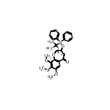 COc1cc2c(c(OC)c1OC)OCC(O[Si](c1ccccc1)(c1ccccc1)C(C)(C)C)CC2=O